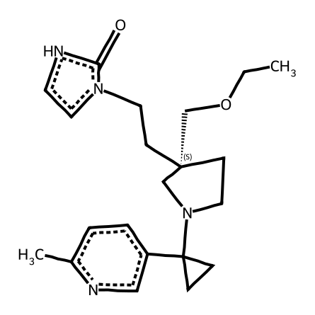 CCOC[C@]1(CCn2cc[nH]c2=O)CCN(C2(c3ccc(C)nc3)CC2)C1